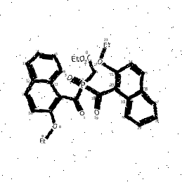 CCOC(=O)CP(=O)(C(=O)c1c(OCC)ccc2ccccc12)C(=O)c1c(OCC)ccc2ccccc12